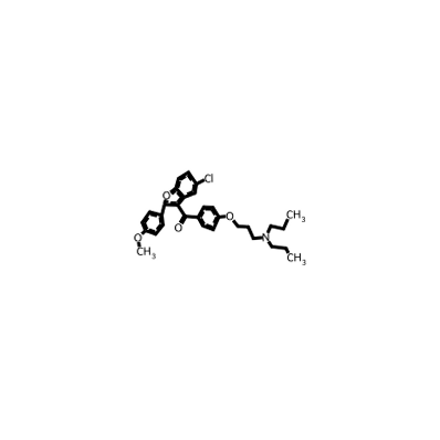 CCCN(CCC)CCCOc1ccc(C(=O)c2c(-c3ccc(OC)cc3)oc3ccc(Cl)cc23)cc1